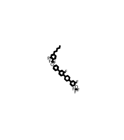 CCCCCc1ccc(C(F)(F)Oc2ccc(-c3ccc(C4CCC(c5ccc(OC(F)(F)F)c(F)c5)CC4)c(F)c3)cc2)c(F)c1